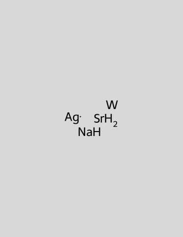 [Ag].[NaH].[SrH2].[W]